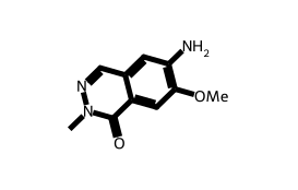 COc1cc2c(=O)n(C)ncc2cc1N